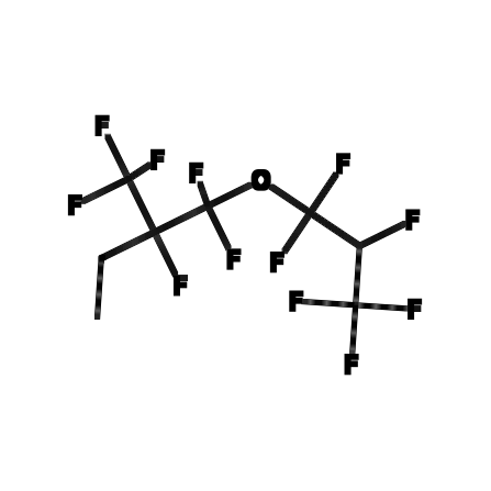 CCC(F)(C(F)(F)F)C(F)(F)OC(F)(F)C(F)C(F)(F)F